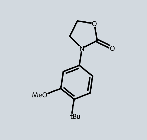 COc1cc(N2CCOC2=O)ccc1C(C)(C)C